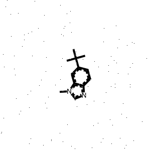 Cn1[c]nc2ccc(C(C)(C)C)cc21